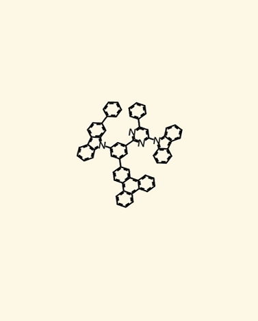 c1ccc(-c2ccc3c4ccccc4n(-c4cc(-c5ccc6c7ccccc7c7ccccc7c6c5)cc(-c5nc(-c6ccccc6)cc(-n6c7ccccc7c7ccccc76)n5)c4)c3c2)cc1